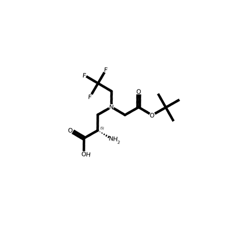 CC(C)(C)OC(=O)CN(C[C@H](N)C(=O)O)CC(F)(F)F